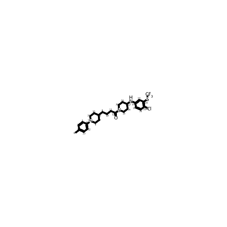 Cc1ccc(N2CCC(CCCC(=O)N3CCC(Nc4ccc(Cl)c(SC(F)(F)F)c4)CC3)CC2)cc1